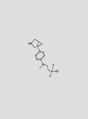 CCC(F)(F)CCN(C)c1ccc(C23CNCC2C3)cc1